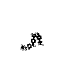 Cn1cc(-c2ccc3cnc4[nH]cc(C5CCC(C(=O)N6CCN(C(=O)OC(C)(C)C)CC6)CC5)c4c3c2)cn1